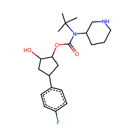 CC(C)(C)N(C(=O)OC1CC(c2ccc(F)cc2)CC1O)C1CCCNC1